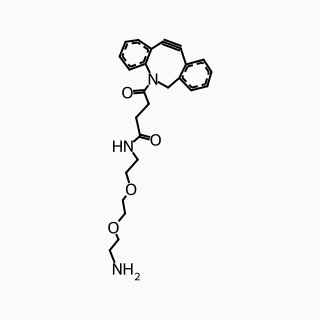 NCCOCCOCCNC(=O)CCC(=O)N1Cc2ccccc2C#Cc2ccccc21